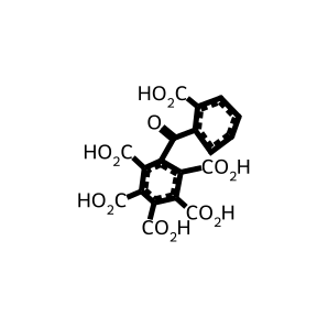 O=C(O)c1ccccc1C(=O)c1c(C(=O)O)c(C(=O)O)c(C(=O)O)c(C(=O)O)c1C(=O)O